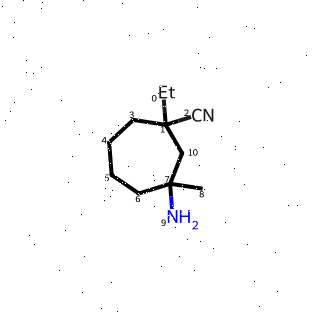 CCC1(C#N)CCCCC(C)(N)C1